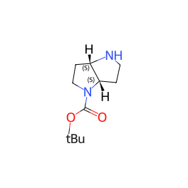 CC(C)(C)OC(=O)N1CC[C@@H]2NCC[C@@H]21